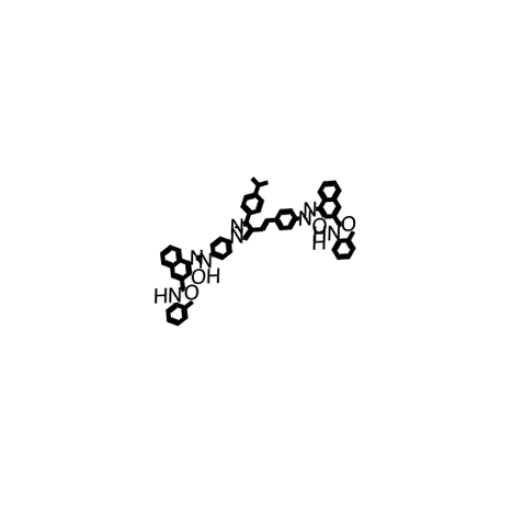 Cc1ccccc1NC(=O)c1cc2ccccc2c(/N=N/c2ccc(/C=C/c3cn(-c4ccc(/N=N/c5c(O)c(C(=O)Nc6ccccc6C)cc6ccccc56)cc4)nc3-c3ccc(C(C)C)cc3)cc2)c1O